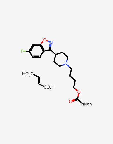 CCCCCCCCCC(=O)OCCCCN1CCC(c2noc3cc(F)ccc23)CC1.O=C(O)/C=C/C(=O)O